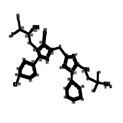 CC(C)(N)CNc1nc(Cn2nc(-c3ccc(Cl)cc3)n(C[C@H](O)C(F)F)c2=O)nn1-c1ccccc1